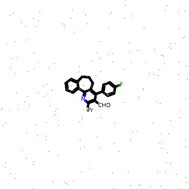 CC(C)c1nc2c(c(-c3ccc(F)cc3)c1C=O)CCCc1ccccc1-2